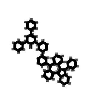 C1=CC(c2cccc(N3c4ccccc4C4=C(c5ccccc53)N(c3ccccc3)C3C=CCCC43)c2)CC(C2C=C(c3ccccc3)C=C(c3ccccc3)N2)=C1